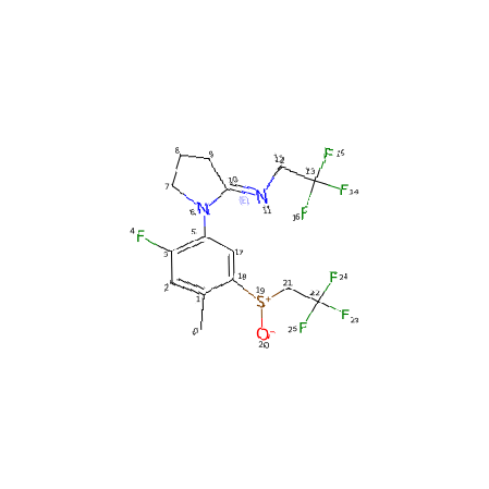 Cc1cc(F)c(N2CCC/C2=N\CC(F)(F)F)cc1[S+]([O-])CC(F)(F)F